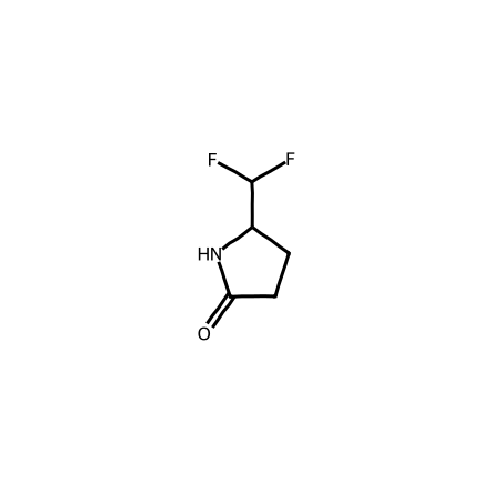 O=C1CCC(C(F)F)N1